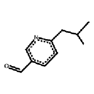 CC(C)Cc1ccc(C=O)cn1